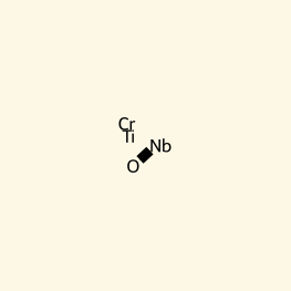 [Cr].[O]=[Nb].[Ti]